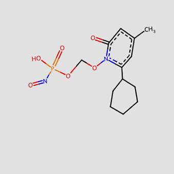 Cc1cc(C2CCCCC2)n(OCOP(=O)(O)N=O)c(=O)c1